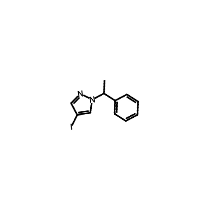 CC(c1ccccc1)n1cc(I)cn1